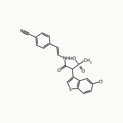 CP(=O)(O)C(C(=O)NC=Cc1ccc(C#N)cc1)c1csc2ccc(Cl)cc12